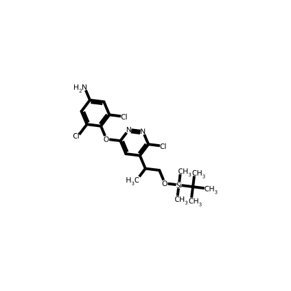 CC(CO[Si](C)(C)C(C)(C)C)c1cc(Oc2c(Cl)cc(N)cc2Cl)nnc1Cl